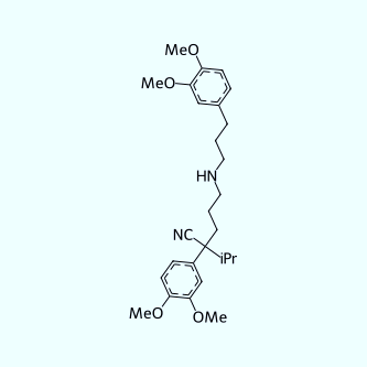 COc1ccc(CCCNCCCC(C#N)(c2ccc(OC)c(OC)c2)C(C)C)cc1OC